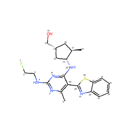 Cc1nc(NCCF)nc(N[C@@H]2C[C@H](CO)C[C@H]2C)c1-c1nc2ccccc2s1